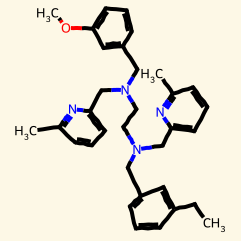 CCc1cccc(CN(CCN(Cc2cccc(OC)c2)Cc2cccc(C)n2)Cc2cccc(C)n2)c1